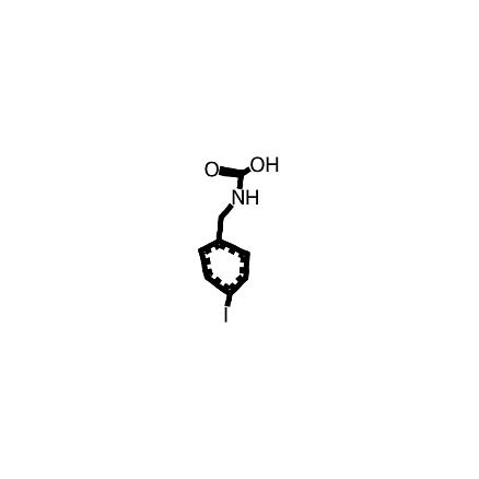 O=C(O)NCc1ccc(I)cc1